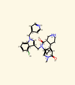 Cn1ccc(C2CCNC[C@@H]2C(=O)N(Cc2cn(Cc3ccncc3)c3cccc(F)c23)C2CC2)cc1=O